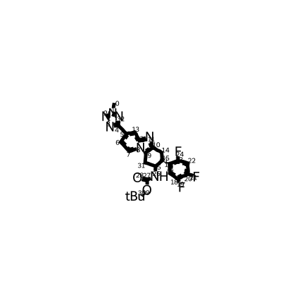 Cn1nnc(-c2ccn3c4c(nc3c2)C[C@H](c2cc(F)c(F)cc2F)C(NC(=O)OC(C)(C)C)C4)n1